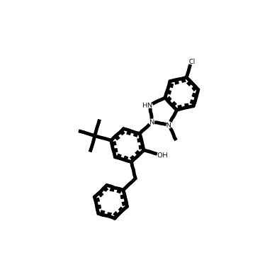 CN1c2ccc(Cl)cc2NN1c1cc(C(C)(C)C)cc(Cc2ccccc2)c1O